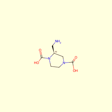 NC[C@H]1CN(C(=O)O)CCN1C(=O)O